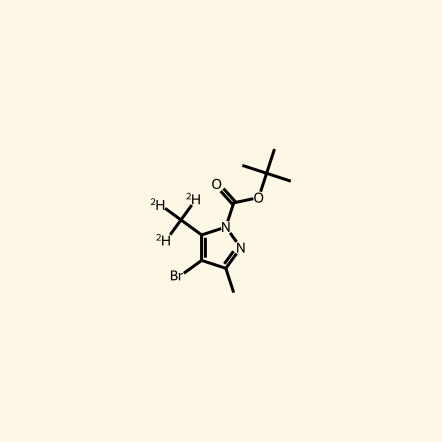 [2H]C([2H])([2H])c1c(Br)c(C)nn1C(=O)OC(C)(C)C